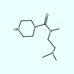 CN(C)CCN(C)C(=O)N1CCNCC1